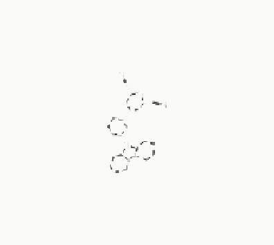 N#Cc1cc(-c2cccc(-n3c4ccccc4c4ccccc43)c2)cc(C#N)n1